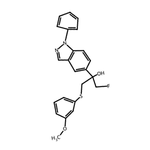 COc1cccc(SCC(O)(CF)c2ccc3c(cnn3-c3ccccc3)c2)c1